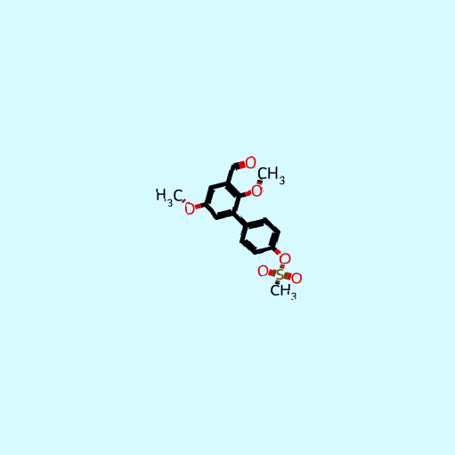 COc1cc(C=O)c(OC)c(-c2ccc(OS(C)(=O)=O)cc2)c1